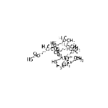 CC(C)CCCCCC(S)C(=O)[O-].CC(C)CCCCCC(S)C(=O)[O-].CC(C)CCCCCCOC(=O)CCS.CC(C)CCCCCCOC(=O)CCS.CCC[CH2][Sn+2][CH2]CCC.CCC[CH2][Sn][CH2]CCC